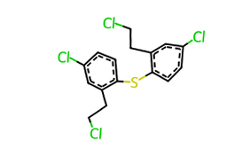 ClCCc1cc(Cl)ccc1Sc1ccc(Cl)cc1CCCl